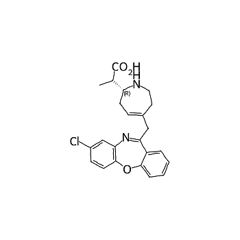 CC(C(=O)O)[C@H]1CC=C(CC2=Nc3cc(Cl)ccc3Oc3ccccc32)CCN1